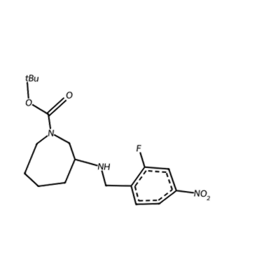 CC(C)(C)OC(=O)N1CCCCC(NCc2ccc([N+](=O)[O-])cc2F)C1